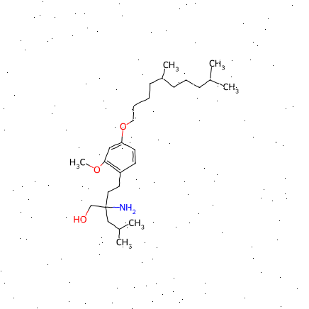 COc1cc(OCCCCC(C)CCCC(C)C)ccc1CCC(N)(CO)CC(C)C